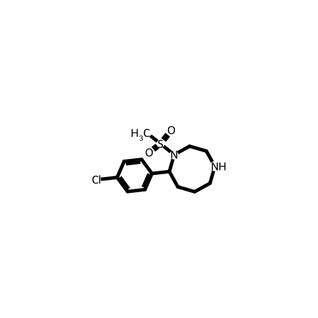 CS(=O)(=O)N1CCNCCCC1c1ccc(Cl)cc1